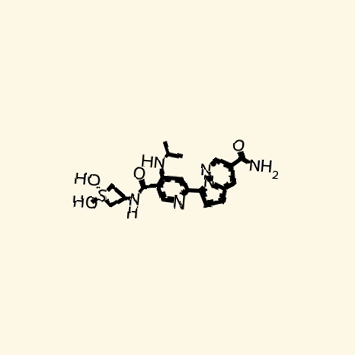 CC(C)Nc1cc(-c2ccc3cc(C(N)=O)cnn23)ncc1C(=O)NC1CS(O)(O)C1